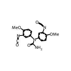 COc1ccc(N(C(N)=O)c2ccc(OC)c(N=C=O)c2)cc1N=C=O